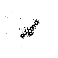 CC1=CC(c2ccc3oc(-c4ccccc4)cc3c2)C(c2ccccc2)C(C(=O)c2ccccc2)C1